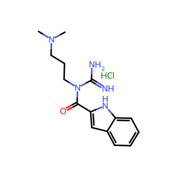 CN(C)CCCN(C(=N)N)C(=O)c1cc2ccccc2[nH]1.Cl